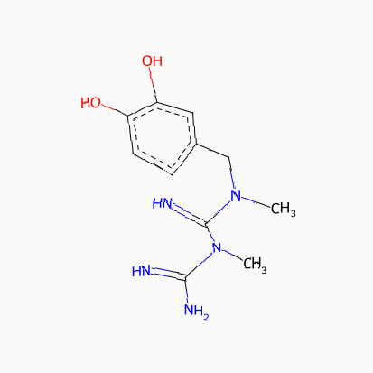 CN(Cc1ccc(O)c(O)c1)C(=N)N(C)C(=N)N